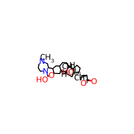 CN1CCCN(C(=O)O)C(C2CC[C@@]3(C)C(CC[C@@H]4[C@@H]3CC[C@]3(C)[C@@H](C5=CC(=O)OC5)CC[C@]43O)C2)C1